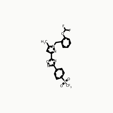 Cc1cc(-c2nc(-c3ccc(S(=O)(=O)C(F)(F)F)cc3)no2)nn1Cc1ccccc1OC(F)F